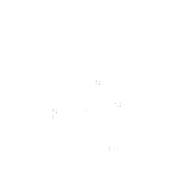 O=C(Nc1c[nH]c2ccccc12)N1CCc2ccccc2C1c1c[nH]c2ccccc12